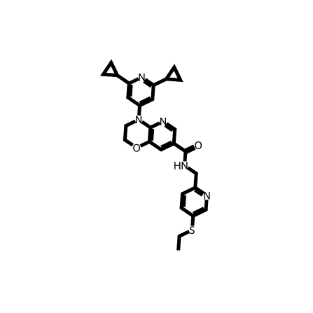 CCSc1ccc(CNC(=O)c2cnc3c(c2)OCCN3c2cc(C3CC3)nc(C3CC3)c2)nc1